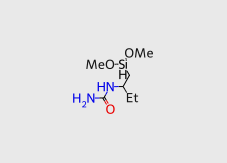 CCC(C[SiH](OC)OC)NC(N)=O